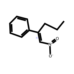 CCC/C(=C\[N+](=O)[O-])c1ccccc1